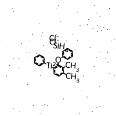 Cc1cc[c]([Ti+2][c]2ccccc2)c(Oc2ccccc2)c1C.[Cl-].[Cl-].[SiH4]